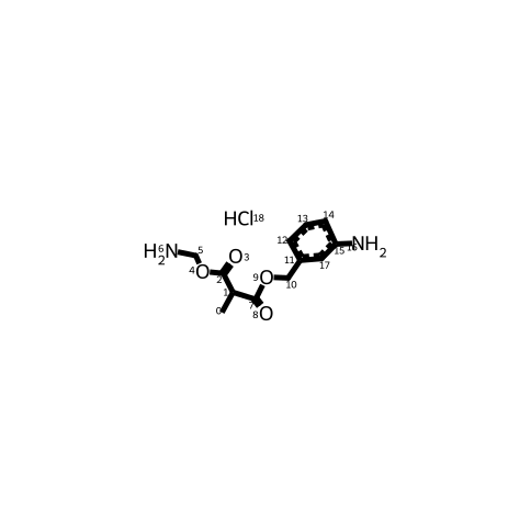 CC(C(=O)OCN)C(=O)OCc1cccc(N)c1.Cl